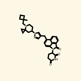 CC1(CN2CCC(n3cc(Cc4ccc5c6c(cccc46)C(=O)N5C4CCC(=O)NC4=O)cn3)CC23CC3)CCC1